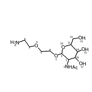 CC(=O)NC1C(OCCOCCN)OC(CO)C(O)C1O